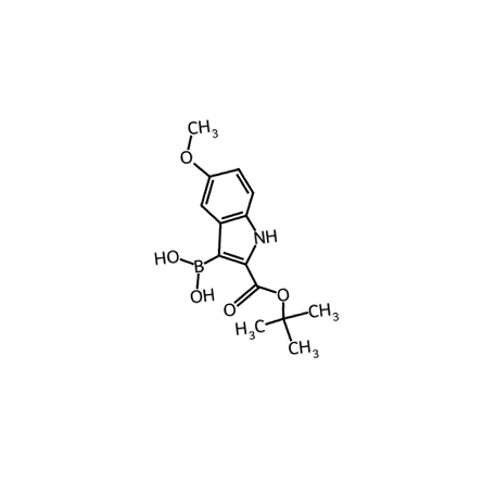 COc1ccc2[nH]c(C(=O)OC(C)(C)C)c(B(O)O)c2c1